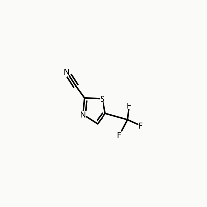 N#Cc1ncc(C(F)(F)F)s1